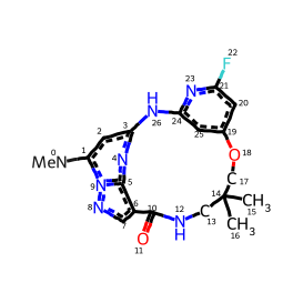 CNc1cc2nc3c(cnn13)C(=O)NCC(C)(C)COc1cc(F)nc(c1)N2